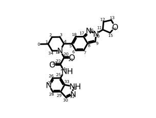 CC1CCC(c2ccc3cn(C4CCOC4)nc3c2)N(C(=O)C(=O)Nc2cncc3cn[nH]c23)C1